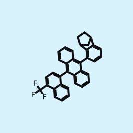 FC(F)(F)c1ccc(-c2c3ccccc3c(-c3cccc4c3C3CCC4C3)c3ccccc23)c2ccccc12